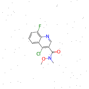 CON(C)C(=O)c1cnc2c(F)cccc2c1Cl